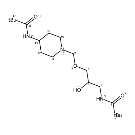 CC(C)(C)C(=O)NCC(O)COCN1CCC(NC(=O)C(C)(C)C)CC1